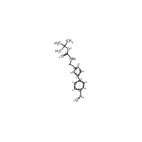 CC(C)(C)OC(=O)NCc1nc(-c2ccc(N=O)cc2)cs1